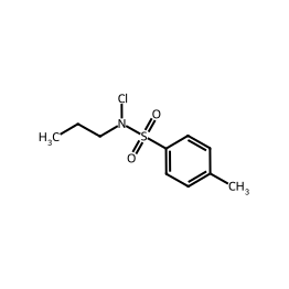 CCCN(Cl)S(=O)(=O)c1ccc(C)cc1